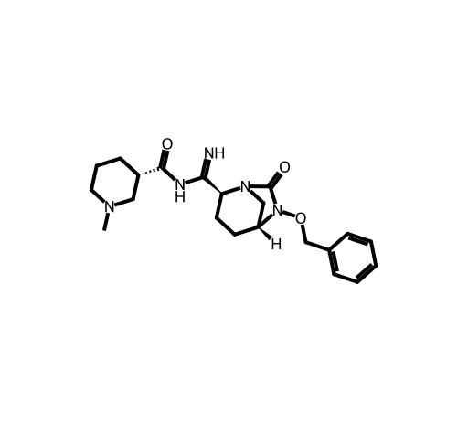 CN1CCC[C@H](C(=O)NC(=N)[C@@H]2CC[C@@H]3CN2C(=O)N3OCc2ccccc2)C1